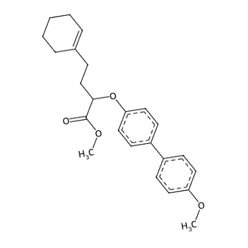 COC(=O)C(CCC1=CCCCC1)Oc1ccc(-c2ccc(OC)cc2)cc1